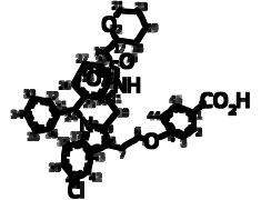 O=C(O)c1ccc(OCCc2c(CCNS(=O)(=O)CC3CCCCO3)n(C(c3ccccc3)c3ccccc3)c3ccc(Cl)cc23)cc1